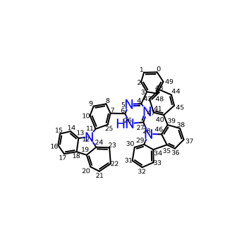 c1ccc(C2=NC(c3cccc(-n4c5ccccc5c5ccccc54)c3)NC(n3c4ccccc4c4cccc(-c5ccccc5)c43)=N2)cc1